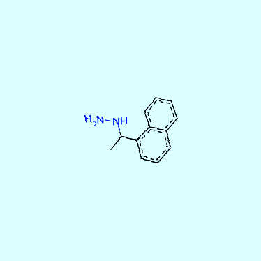 CC(NN)c1cccc2ccccc12